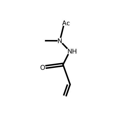 C=CC(=O)NN(C)C(C)=O